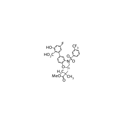 COC(=O)C(C)(C)C[C@H]1CN(S(=O)(=O)c2cccc(C(F)(F)F)c2)c2cc(-c3cc(F)cc(O)c3C(=O)O)ccc2O1